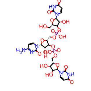 Nc1ccn([C@@H]2O[C@H](COP(=O)(O)OC3[C@@H](CO)O[C@@H](n4ccc(=O)[nH]c4=O)[C@H]3O)C(OP(=O)(O)OC[C@H]3O[C@@H](n4ccc(=O)[nH]c4=O)C(O)[C@H]3O)[C@@H]2O)c(=O)n1